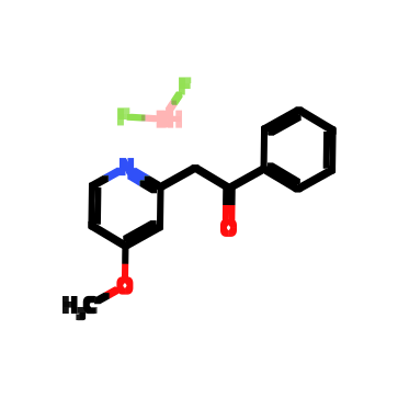 COc1ccnc(CC(=O)c2ccccc2)c1.FBF